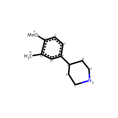 COc1ccc(C2CC[N]CC2)cc1C